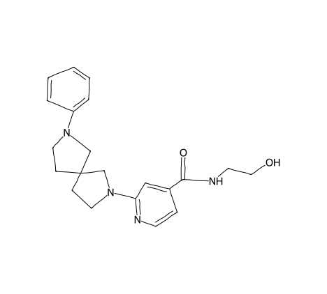 O=C(NCCO)c1ccnc(N2CCC3(CCN(c4ccccc4)C3)C2)c1